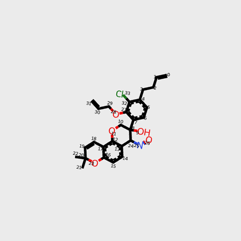 C=CCCc1ccc(C2(O)COc3c(ccc4c3C=CC(C)(C)O4)C2N=O)c(OCC=C)c1Cl